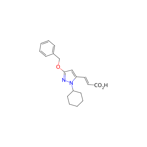 O=C(O)/C=C/c1cc(OCc2ccccc2)nn1C1CCCCC1